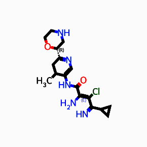 CC1CC([C@H]2CNCCO2)=NC=C1NC(=O)/C(N)=C(\Cl)C(=N)C1CC1